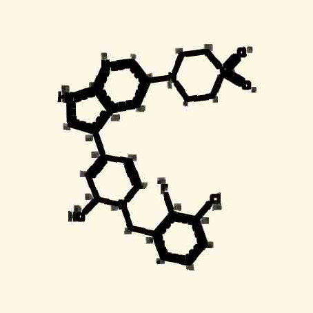 O=S1(=O)CCN(c2cnc3[nH]cc(C4=CC(O)N(Cc5cccc(Cl)c5F)C=C4)c3c2)CC1